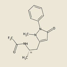 C[C@@H](Cc1cc(=O)n(-c2ccccc2)n1C)NC(=O)C(F)(F)F